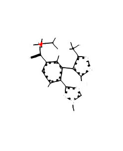 Cc1[nH]nc(C(F)(F)F)c1-c1c(OC(C)C(F)(F)F)c(C(N)=O)cc(F)c1-c1ncn(C)n1